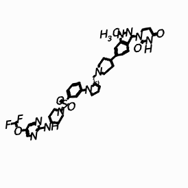 Cn1nc(N2CCC(=O)NC2=O)c2ccc(C3CCN(C[C@@H]4CCCN4c4cccc(S(=O)(=O)N5CCC(Nc6ncc(OC(F)F)cn6)CC5)c4)CC3)cc21